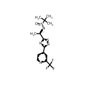 C/C(=N\[S@@+]([O-])C(C)(C)C)c1nc(-c2ccnc(C(F)(F)F)c2)ns1